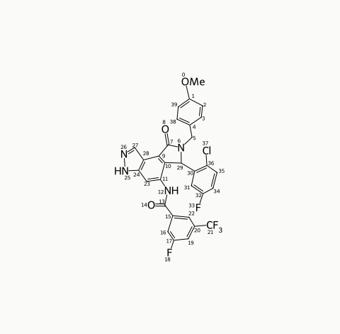 COc1ccc(CN2C(=O)c3c(c(NC(=O)c4cc(F)cc(C(F)(F)F)c4)cc4[nH]ncc34)C2c2cc(F)ccc2Cl)cc1